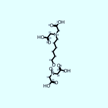 O=C(O)CN(CCCCCCOON(CC(=O)O)CC(=O)O)CC(=O)O